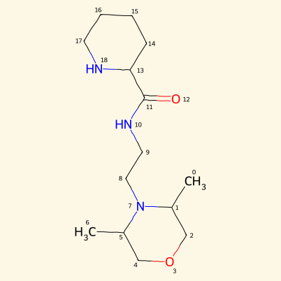 CC1COCC(C)N1CCNC(=O)C1CCCCN1